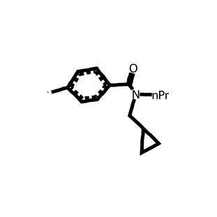 [CH2]c1ccc(C(=O)N(CCC)CC2CC2)cc1